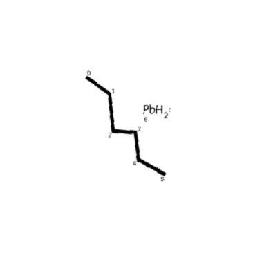 CCCCCC.[PbH2]